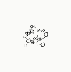 CCCN(Cc1nc(C)cs1)C(=O)c1cc(CC)cc(C(=O)N[C@@H](Cc2ccccc2)[C@H](O)CNCc2cccc(OC)c2)c1